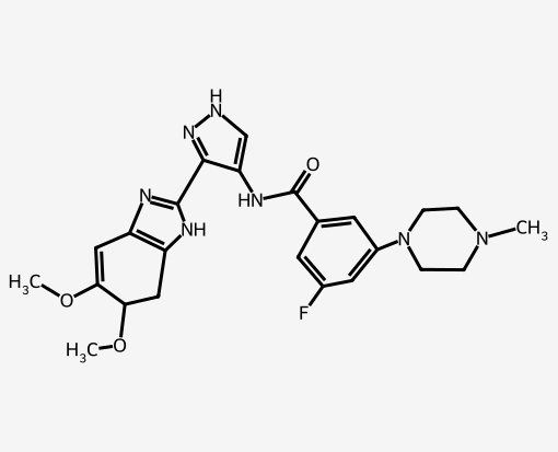 COC1=Cc2nc(-c3n[nH]cc3NC(=O)c3cc(F)cc(N4CCN(C)CC4)c3)[nH]c2CC1OC